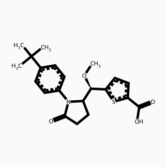 CO[C@@H](c1ccc(C(=O)O)s1)C1CCC(=O)N1c1ccc(C(C)(C)C)cc1